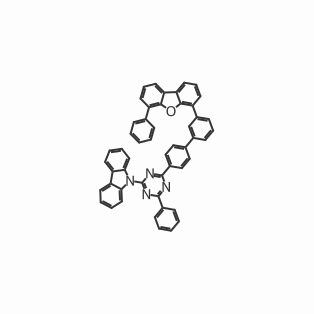 c1ccc(-c2nc(-c3ccc(-c4cccc(-c5cccc6c5oc5c(-c7ccccc7)cccc56)c4)cc3)nc(-n3c4ccccc4c4ccccc43)n2)cc1